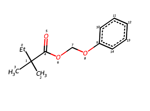 CCC(C)(C)C(=O)OCOc1ccccc1